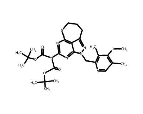 COc1c(C)cnc(Cn2nc3c4c(nc(N(C(=O)OC(C)(C)C)C(=O)OC(C)(C)C)nc42)SCCC3)c1C